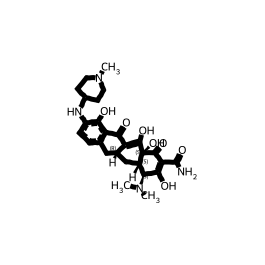 CN1CCC(Nc2ccc3c(c2O)C(=O)C2=C(O)[C@]4(O)C(=O)C(C(N)=O)=C(O)[C@@H](N(C)C)[C@@H]4C[C@@H]2C3)CC1